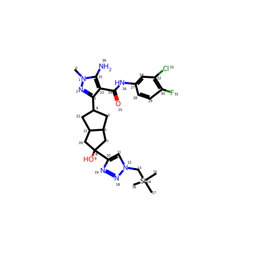 Cn1nc(C2CC3CC(O)(c4cn(C[Si](C)(C)C)nn4)CC3C2)c(C(=O)Nc2ccc(F)c(Cl)c2)c1N